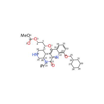 COC(=O)OCCCOc1cc(C(=O)N(C(C)C)[C@@H]2CCCNC2)nc2c(OCC3CCCCC3)cccc12